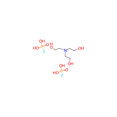 O=P(O)(O)F.O=P(O)(O)F.OCCN(CCO)CCO